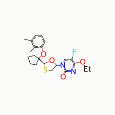 CCOc1nc(=O)n([C@H]2CS[C@@H](C3(Oc4cccc(C)c4C)CCCC3)O2)cc1F